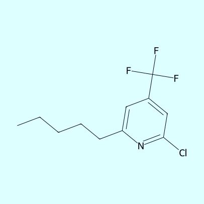 CCCCCc1cc(C(F)(F)F)cc(Cl)n1